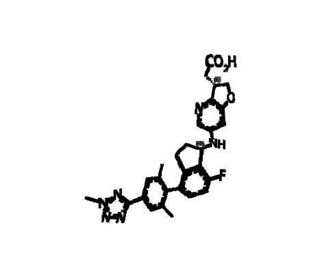 Cc1cc(-c2nnn(C)n2)cc(C)c1-c1ccc(F)c2c1CC[C@H]2Nc1cnc2c(c1)OC[C@H]2CC(=O)O